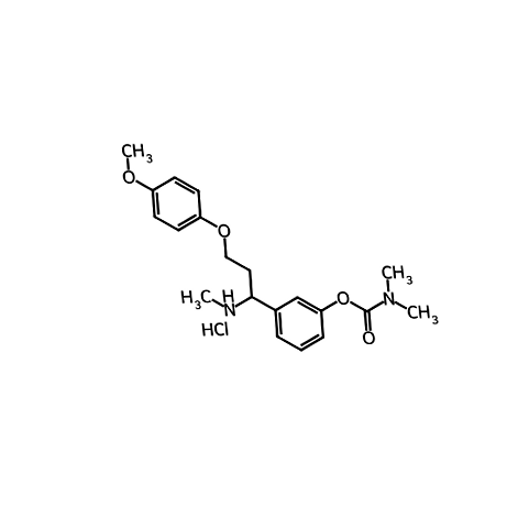 CNC(CCOc1ccc(OC)cc1)c1cccc(OC(=O)N(C)C)c1.Cl